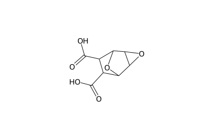 O=C(O)C1C2OC(C3OC32)C1C(=O)O